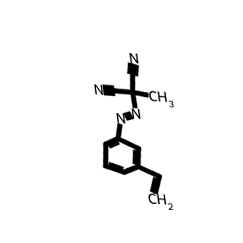 C=Cc1cccc(N=NC(C)(C#N)C#N)c1